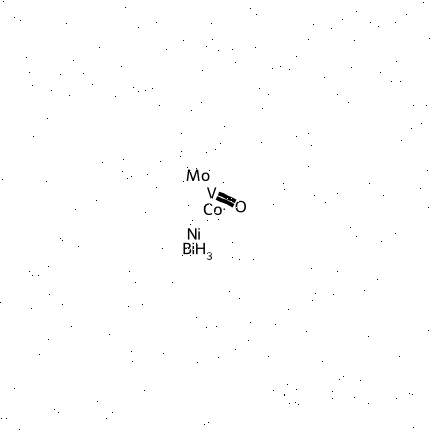 [BiH3].[Co].[Mo].[Ni].[O]=[V]